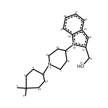 CC1(C)CCC(N2CCC(n3c(CO)cc4ccccc43)CC2)CC1